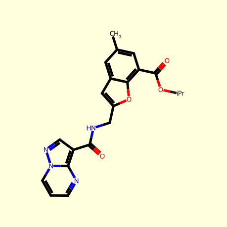 Cc1cc(C(=O)OC(C)C)c2oc(CNC(=O)c3cnn4cccnc34)cc2c1